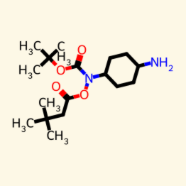 CC(C)(C)CC(=O)ON(C(=O)OC(C)(C)C)C1CCC(N)CC1